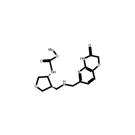 CC(C)(C)OC(=O)N[C@H]1COC[C@@H]1CNCc1ccc2c(n1)NC(=O)CO2